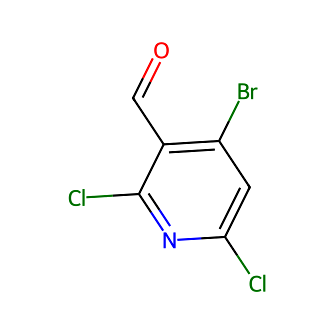 O=Cc1c(Br)cc(Cl)nc1Cl